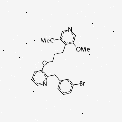 COc1cncc(OC)c1CCCOc1cccnc1Cc1cccc(Br)c1